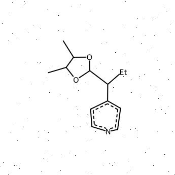 CCC(c1ccncc1)C1OC(C)C(C)O1